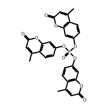 Cc1cc(=O)oc2cc(OP(=O)(Oc3ccc4c(C)cc(=O)oc4c3)Oc3ccc4c(C)cc(=O)oc4c3)ccc12